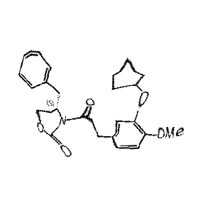 COc1ccc(CC(=O)N2C(=O)OC[C@@H]2Cc2ccccc2)cc1OC1CCCC1